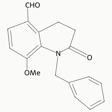 COc1ccc(C=O)c2c1N(Cc1ccccc1)C(=O)CC2